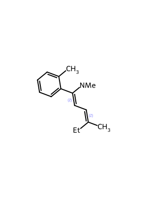 CC/C(C)=C\C=C(/NC)c1ccccc1C